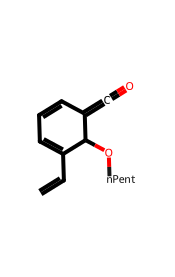 C=CC1=CC=CC(=C=O)C1OCCCCC